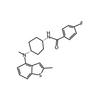 Cc1cc2c(N(C)[C@H]3CC[C@@H](NC(=O)c4ccc(F)cc4)CC3)cccc2s1